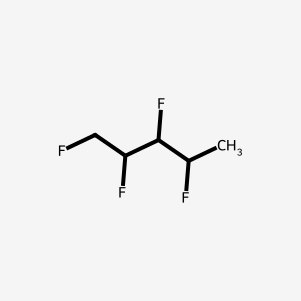 CC(F)C(F)C(F)CF